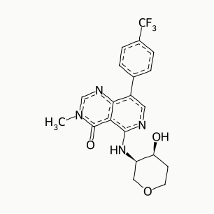 Cn1cnc2c(-c3ccc(C(F)(F)F)cc3)cnc(N[C@@H]3COCC[C@@H]3O)c2c1=O